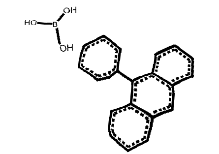 OB(O)O.c1ccc(-c2c3ccccc3cc3ccccc23)cc1